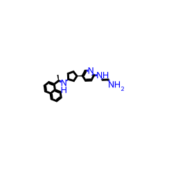 C[C@@H](N[C@H]1CC[C@@H](c2ccc(NCCN)nc2)C1)c1cccc2ccccc12